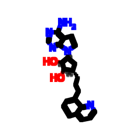 Nc1ncnc2c1ccn2[C@@H]1C[C@H](CCCc2cccc3cccnc23)[C@@H](O)[C@H]1O